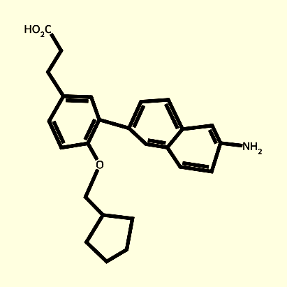 Nc1ccc2cc(-c3cc(CCC(=O)O)ccc3OCC3CCCC3)ccc2c1